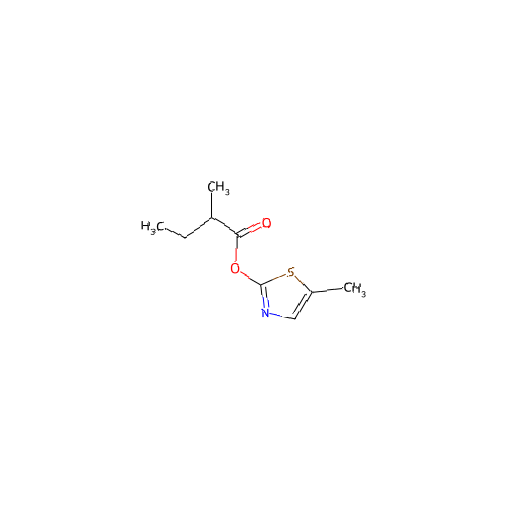 CCC(C)C(=O)Oc1ncc(C)s1